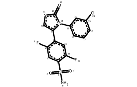 NS(=O)(=O)c1cc(F)c(-c2csc(=O)n2-c2cccc(Cl)c2)cc1F